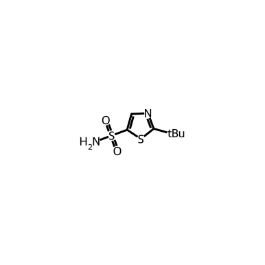 CC(C)(C)c1ncc(S(N)(=O)=O)s1